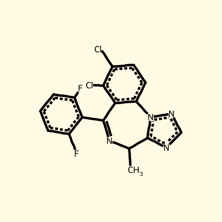 CC1N=C(c2c(F)cccc2F)c2c(ccc(Cl)c2Cl)-n2ncnc21